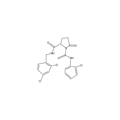 O=C(NCc1ccc(Cl)cc1Cl)C1CCC(=O)N1C(=O)Nc1ccccc1Cl